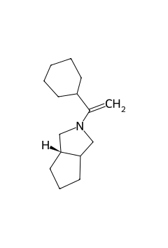 C=C(C1CCCCC1)N1CC2CCC[C@@H]2C1